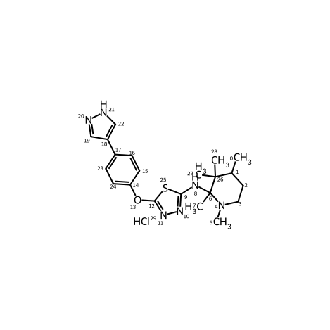 CC1CCN(C)C(C)(Nc2nnc(Oc3ccc(-c4cn[nH]c4)cc3)s2)C1(C)C.Cl